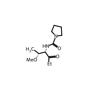 CCC(=O)[C@@H](NC(=O)N1CCCC1)[C@@H](C)OC